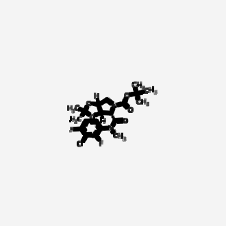 CN(C(=O)[C@@H]1[C@@H]2OC(C)(C)O[C@@H]2CN1C(=O)OC(C)(C)C)c1ccc(F)c(Cl)c1F